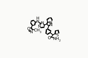 Cc1ncoc1-c1cccc(Nc2nccc(-c3c(-c4cccc(C(C(N)=O)c5cccs5)c4)nn4ccccc34)n2)c1